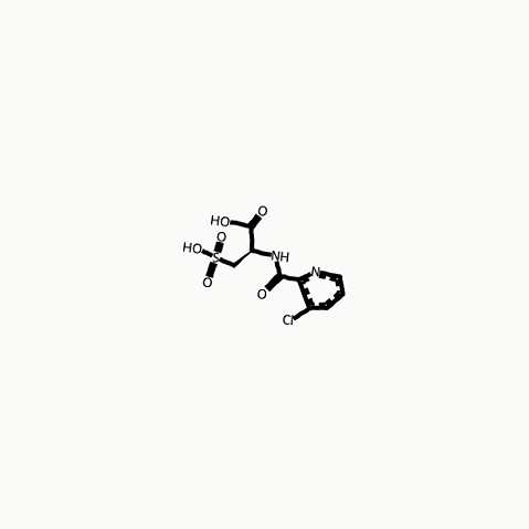 O=C(N[C@@H](CS(=O)(=O)O)C(=O)O)c1ncccc1Cl